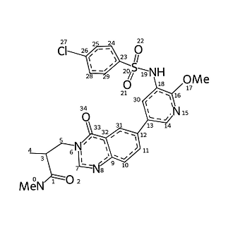 CNC(=O)C(C)Cn1cnc2ccc(-c3cnc(OC)c(NS(=O)(=O)c4ccc(Cl)cc4)c3)cc2c1=O